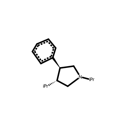 CC(C)[C@H]1CN(C(C)C)C[C@@H]1c1ccccc1